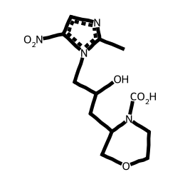 Cc1ncc([N+](=O)[O-])n1CC(O)CC1COCCN1C(=O)O